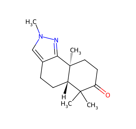 Cn1cc2c(n1)[C@@]1(C)CCC(=O)C(C)(C)[C@@H]1CC2